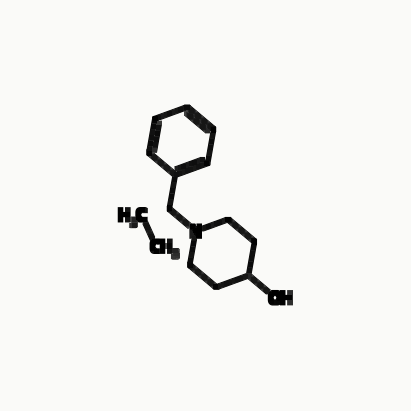 CC.OC1CCN(Cc2ccccc2)CC1